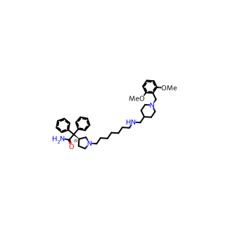 COc1cccc(OC)c1CN1CCC(CNCCCCCCCN2CC[C@@H](C(C(N)=O)(c3ccccc3)c3ccccc3)C2)CC1